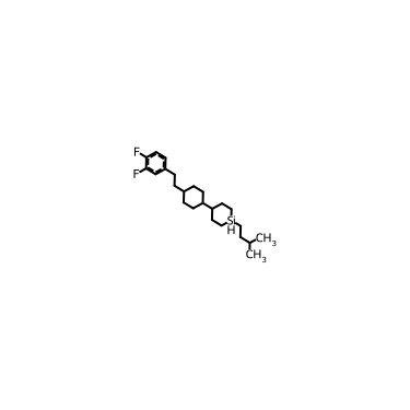 CC(C)CC[SiH]1CCC(C2CCC(CCc3ccc(F)c(F)c3)CC2)CC1